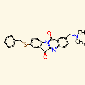 CN(C)Cc1ccc2nc3n(c(=O)c2c1)-c1ccc(SCc2ccccc2)cc1C3=O